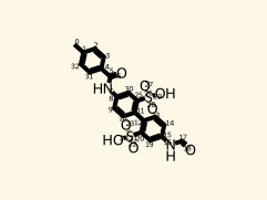 Cc1ccc(C(=O)Nc2ccc(-c3ccc(NC=O)cc3S(=O)(=O)O)c(S(=O)(=O)O)c2)cc1